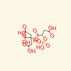 O=C(O)CC(OP(=O)(O)O)C(=O)OC(CC(=O)O)(CC(=O)O)C(=O)O